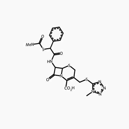 CNC(=O)SC(C(=O)NC1C(=O)N2C(C(=O)O)=C(CSc3nnnn3C)CSC12)c1ccccc1